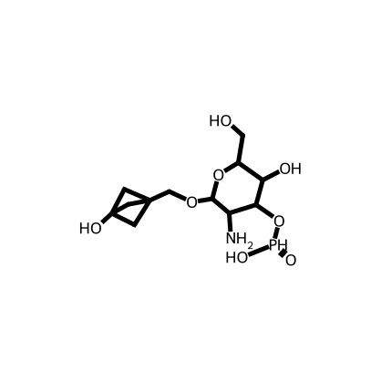 NC1C(OCC23CC(O)(C2)C3)OC(CO)C(O)C1O[PH](=O)O